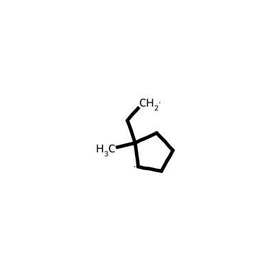 [CH2]CC1(C)[CH]CCC1